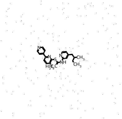 C=C(Nc1cc(CC(C)CC)ccn1)Sc1nc(-c2ccncc2)ccc1C